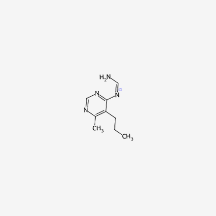 CCCc1c(C)ncnc1/N=C\N